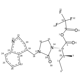 CC[C@H](C)[C@@H](C(=O)OC(=O)C(F)(F)F)N1CCN(Cc2ccnc3ccccc23)C1=O